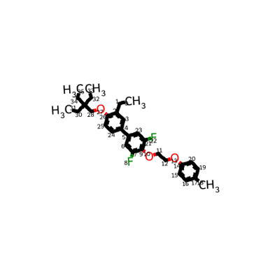 CCc1cc(-c2cc(F)c(OCCOc3ccc(C)cc3)c(F)c2)ccc1OCC(CC)(CC)CC